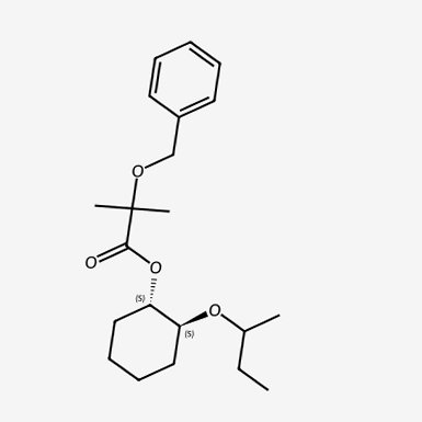 CCC(C)O[C@H]1CCCC[C@@H]1OC(=O)C(C)(C)OCc1ccccc1